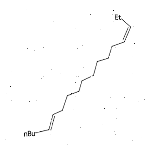 CC/C=C\CCCCCCCCC=CCCCC